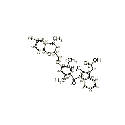 Cc1cc(C(=O)n2c(C)c(CC(=O)O)c3ccccc32)c(C)cc1OC[C@@H]1CN(C)c2cc(F)ccc2O1